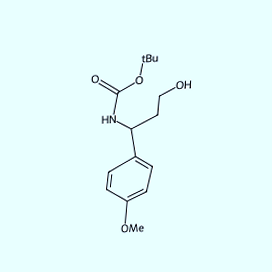 COc1ccc(C(CCO)NC(=O)OC(C)(C)C)cc1